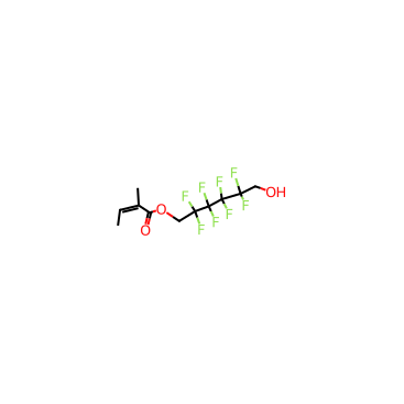 CC=C(C)C(=O)OCC(F)(F)C(F)(F)C(F)(F)C(F)(F)CO